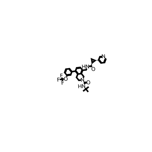 CC(C)(C)NC(=O)N1CCc2c(-c3cccc(OC(F)(F)F)c3)ccc(CNC(=O)[C@H]3C[C@@H]3c3cccnc3)c2C1